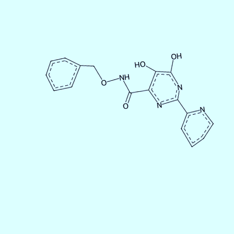 O=C(NOCc1ccccc1)c1nc(-c2ccccn2)nc(O)c1O